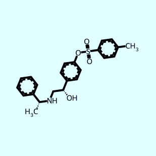 Cc1ccc(S(=O)(=O)Oc2ccc([C@H](O)CN[C@H](C)c3ccccc3)cc2)cc1